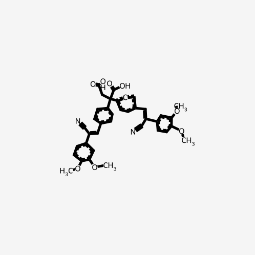 COc1ccc(C(C#N)=Cc2ccc(C(CC(=O)O)(C(=O)O)c3ccc(C=C(C#N)c4ccc(OC)c(OC)c4)cc3)cc2)cc1OC